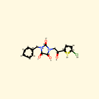 O=C(CN1C(=O)C(=O)N(Cc2ccccc2)C1=O)c1ccc(Cl)s1